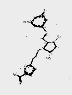 O=C(O)c1ccc(CCC[C@@H]2[C@@H](COc3cc(F)cc(F)c3)[C@H](O)C[C@@H]2Cl)s1